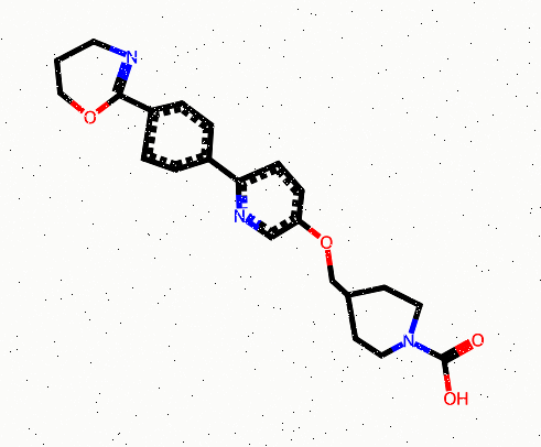 O=C(O)N1CCC(COc2ccc(-c3ccc(C4=NCCCO4)cc3)nc2)CC1